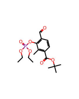 CCOP(=O)(OCC)Oc1c(C=O)ccc(C(=O)OC(C)(C)C)c1C